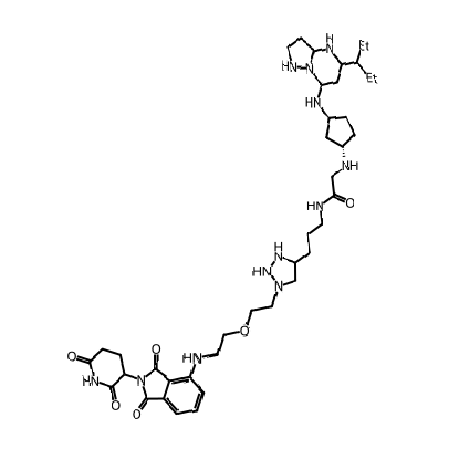 CCC(CC)C1CC(N[C@H]2CC[C@H](NCC(=O)NCCCC3CN(CCOCCNc4cccc5c4C(=O)N(C4CCC(=O)NC4=O)C5=O)NN3)C2)N2NCCC2N1